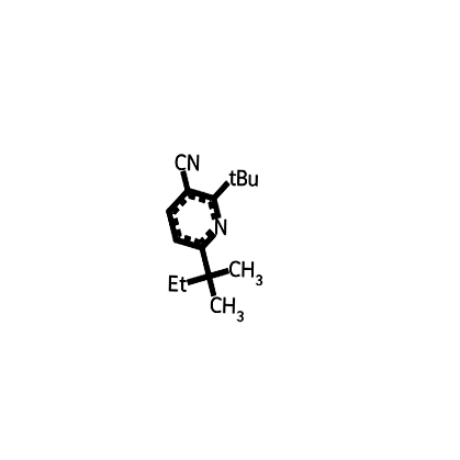 CCC(C)(C)c1ccc(C#N)c(C(C)(C)C)n1